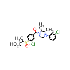 CC(C(=O)O)[S+]([O-])c1ccc(C(=O)N2CCN(c3cccc(Cl)c3)[C@@H](C)[C@@H]2C)cc1Cl